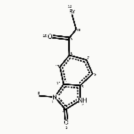 Cn1c(=O)[nH]c2ccc(C(=O)CBr)cc21